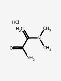 C=C(C(N)=O)N(C)C.Cl